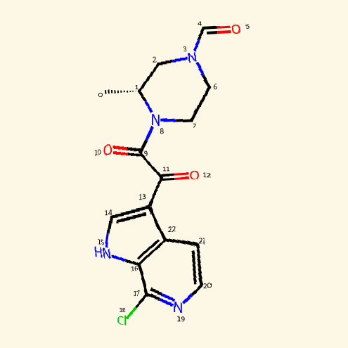 C[C@@H]1CN(C=O)CCN1C(=O)C(=O)c1c[nH]c2c(Cl)nccc12